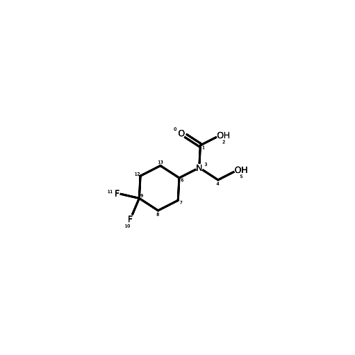 O=C(O)N(CO)C1CCC(F)(F)CC1